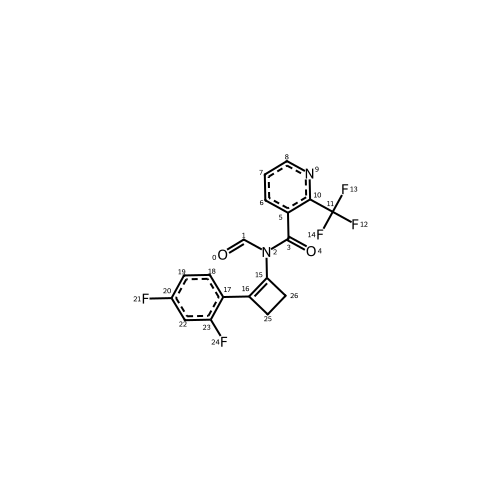 O=CN(C(=O)c1cccnc1C(F)(F)F)C1=C(c2ccc(F)cc2F)CC1